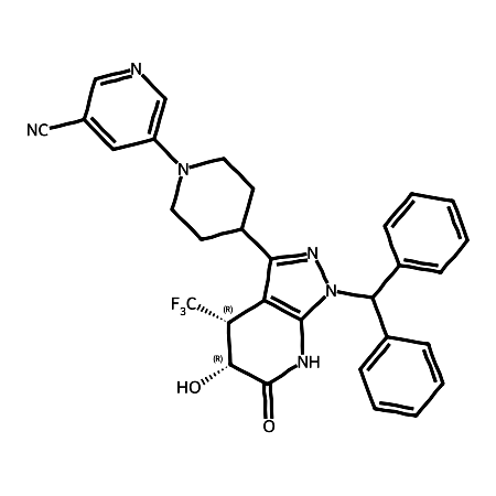 N#Cc1cncc(N2CCC(c3nn(C(c4ccccc4)c4ccccc4)c4c3[C@@H](C(F)(F)F)[C@@H](O)C(=O)N4)CC2)c1